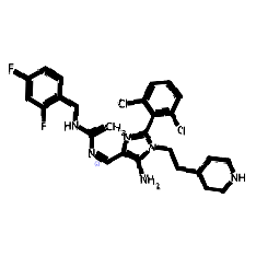 C=C(/N=C\c1nc(-c2c(Cl)cccc2Cl)n(CCC2CCNCC2)c1N)NCc1ccc(F)cc1F